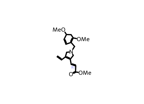 C=CC1=C(/C=C/C(=O)OC)CN(CC2=C(OC)CC(OC)C=C2)C1